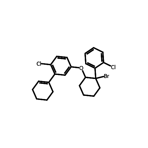 Clc1ccc(OC2CCCCC2(Br)c2ccccc2Cl)cc1C1=CCCCC1